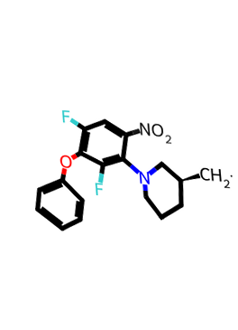 [CH2][C@H]1CCCN(c2c([N+](=O)[O-])cc(F)c(Oc3ccccc3)c2F)C1